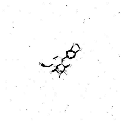 CC[C@H](c1ccc2c(c1)OCO2)N1C(=O)[C@]2(C)S[C@@]1(CCC#N)C(=O)N2C